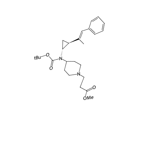 COC(=O)CCN1CCC(N(C(=O)OC(C)(C)C)[C@@H]2C[C@H]2/C(C)=C/c2ccccc2)CC1